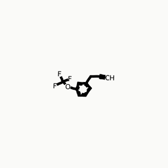 C#CCc1cccc(OC(F)(F)F)c1